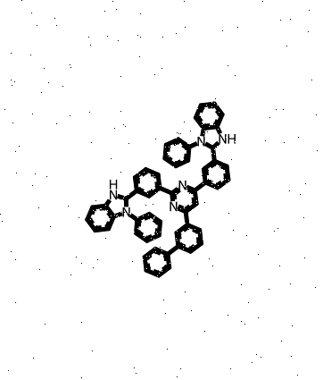 c1ccc(-c2cccc(-c3cc(-c4cccc(C5Nc6ccccc6N5c5ccccc5)c4)nc(-c4cccc(C5Nc6ccccc6N5c5ccccc5)c4)n3)c2)cc1